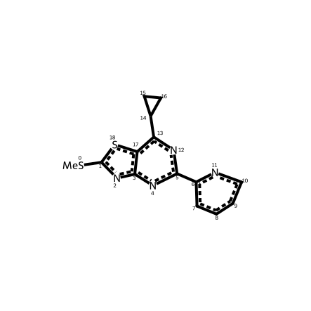 CSc1nc2nc(-c3ccccn3)nc(C3CC3)c2s1